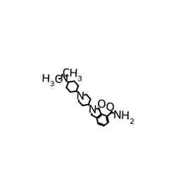 CN(C)C1CCC(N2CCC(N3Cc4cccc(C(N)=O)c4C3=O)CC2)CC1